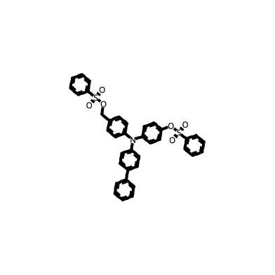 O=S(=O)(OCc1ccc(N(c2ccc(OS(=O)(=O)c3ccccc3)cc2)c2ccc(-c3ccccc3)cc2)cc1)c1ccccc1